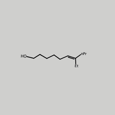 CCC/C(=C/CCCCCO)CC